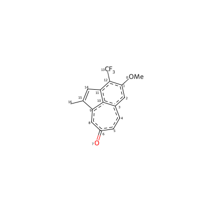 COc1cc2ccc(=O)cc3c2c(c1C(F)(F)F)C=C3C